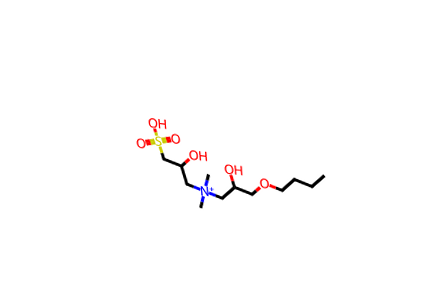 CCCCOCC(O)C[N+](C)(C)CC(O)CS(=O)(=O)O